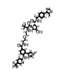 Cc1ncsc1-c1ccc([C@H](C)NC(=O)[C@@H]2C[C@@H](O)CN2C(=O)[C@@H](NCCOCCNC(=O)c2ccc(Nc3ccc(C(F)(F)F)cn3)c(-c3cn(C)cn3)c2)C(C)(C)C)cc1